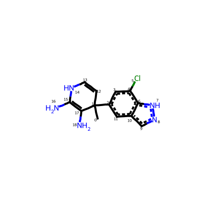 CC1(c2cc(Cl)c3[nH]ncc3c2)C=CNC(N)=C1N